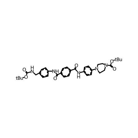 CC(C)(C)OC(=O)NCc1ccc(NC(=O)c2ccc(C(=O)Nc3ccc(N4CCN(C(=O)OC(C)(C)C)CC4)cc3)cc2)cc1